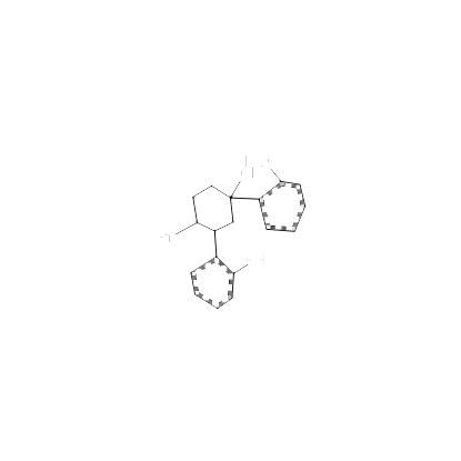 CC(C)C1CCC(C)(c2ccccc2O)CC1c1ccccc1O